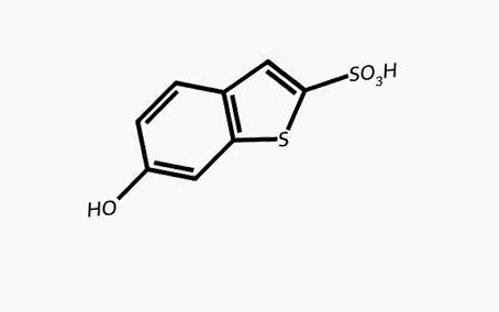 O=S(=O)(O)c1cc2ccc(O)cc2s1